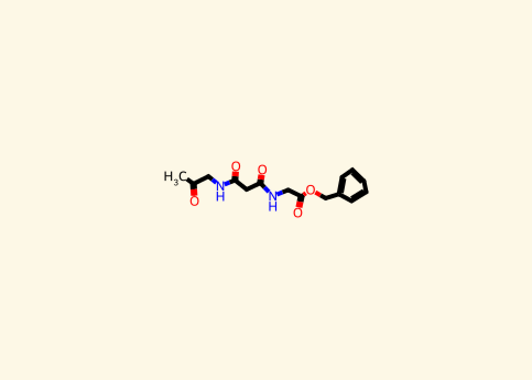 CC(=O)CNC(=O)CC(=O)NCC(=O)OCc1ccccc1